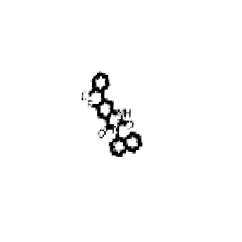 O=c1[nH]c2cc(-c3ccccc3Cl)c(F)cc2c(=O)n1-c1cccc2ccccc12